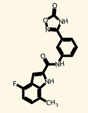 Cc1ccc(F)c2cc(C(=O)Nc3cccc(-c4noc(=O)[nH]4)c3)[nH]c12